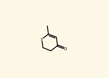 CC1=CC(=O)CCS1